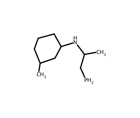 CC1CCCC(NC(C)CP)C1